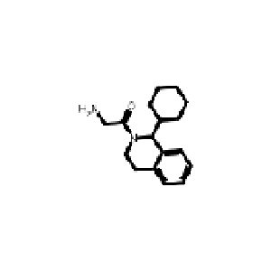 NCC(=O)N1CCc2ccccc2C1C1CCCCC1